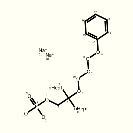 CCCCCCCC(CCCCCCC)(COP(=O)([O-])[O-])OOOOOc1ccccc1.[Na+].[Na+]